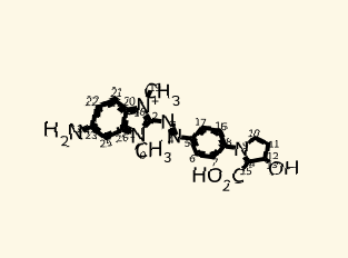 Cn1c(/N=N/c2ccc(N3CCC(O)C3C(=O)O)cc2)[n+](C)c2ccc(N)cc21